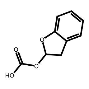 O=C(O)OC1Cc2ccccc2O1